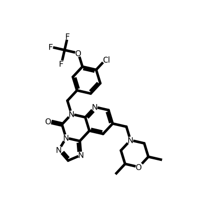 CC1CN(Cc2cnc3c(c2)c2ncnn2c(=O)n3Cc2ccc(Cl)c(OC(F)(F)F)c2)CC(C)O1